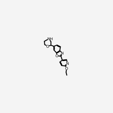 CCOc1ccc(-c2nc3ccc(C4CNCCO4)cc3o2)cn1